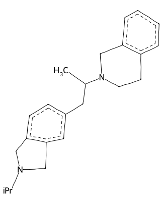 CC(C)N1Cc2ccc(CC(C)N3CCc4ccccc4C3)cc2C1